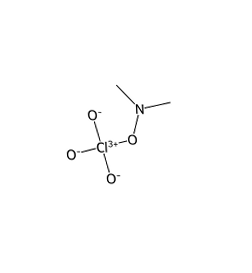 CN(C)O[Cl+3]([O-])([O-])[O-]